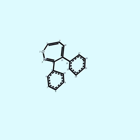 C1=CON=C(c2ccccc2)C(c2ccccc2)=C1